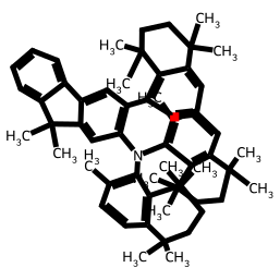 Cc1ccc2c(c1N(c1cc3c(cc1-c1cccc4c1C(C)(C)CCC4(C)C)-c1ccccc1C3(C)C)c1c(C)ccc3c1C(C)(C)CCC3(C)C)C(C)(C)CCC2(C)C